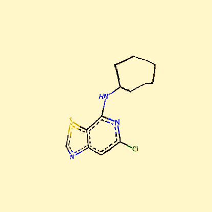 Clc1cc2ncsc2c(NC2CCCCC2)n1